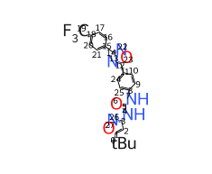 CC(C)(C)c1cc(NC(=O)Nc2ccc(-c3nc(-c4ccc(C(F)(F)F)cc4)no3)cc2)no1